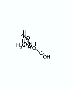 COC(=O)[C@H](CNC(=O)CNC1CC1)NC(=O)c1ccc(/C=C/c2ccc(CO)cc2)cc1